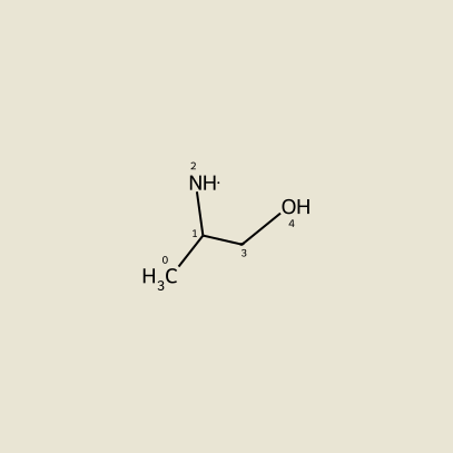 CC([NH])CO